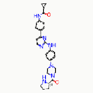 O=C(Nc1ccc(-c2ccnc(Nc3ccc(N4CCN(C(=O)[C@H]5CCCN5)CC4)cc3)n2)cc1)C1CC1